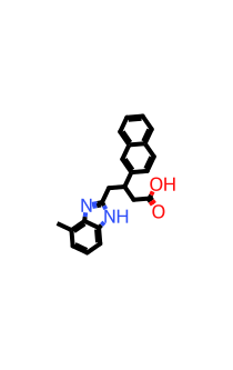 Cc1cccc2[nH]c(CC(CC(=O)O)c3ccc4ccccc4c3)nc12